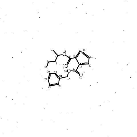 CCCC(C)OC(=O)c1ccccc1C(=O)OCc1ccccc1